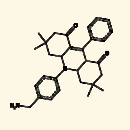 CC1(C)CC(=O)C2=C(c3ccccc3)C3C(=O)CC(C)(C)CC3N(c3ccc(CN)cc3)C2C1